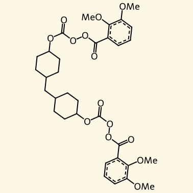 COc1cccc(C(=O)OOC(=O)OC2CCC(CC3CCC(OC(=O)OOC(=O)c4cccc(OC)c4OC)CC3)CC2)c1OC